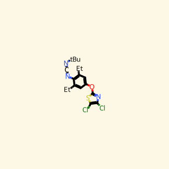 CCc1cc(Oc2nc(Cl)c(Cl)s2)cc(CC)c1N=C=NC(C)(C)C